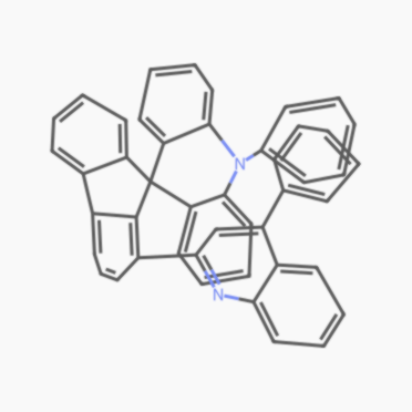 c1ccc(-c2cc(-c3cccc4c3C3(c5ccccc5-4)c4ccccc4N(c4ccccc4)c4ccccc43)nc3ccccc23)cc1